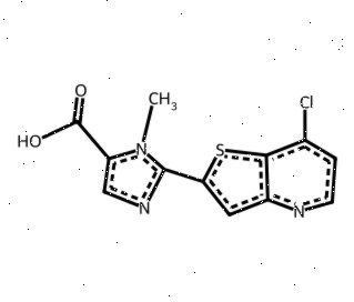 Cn1c(C(=O)O)cnc1-c1cc2nccc(Cl)c2s1